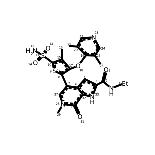 CCNC(=O)c1cc2c(-c3sc(S(N)(=O)=O)c(C)c3Oc3c(C)cncc3C)cn(C)c(=O)c2[nH]1